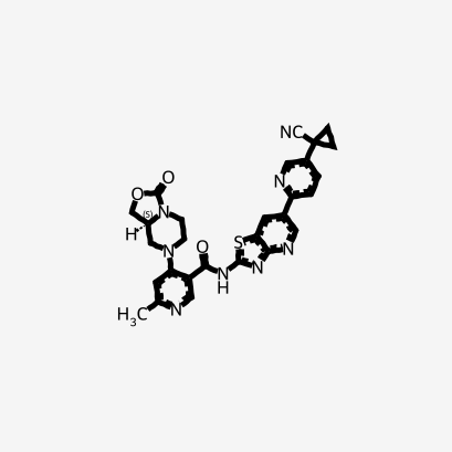 Cc1cc(N2CCN3C(=O)OC[C@@H]3C2)c(C(=O)Nc2nc3ncc(-c4ccc(C5(C#N)CC5)cn4)cc3s2)cn1